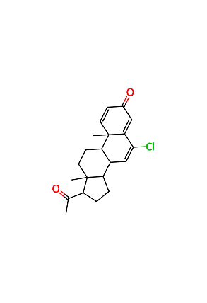 CC(=O)C1CCC2C3C=C(Cl)C4=CC(=O)C=CC4(C)C3CCC12C